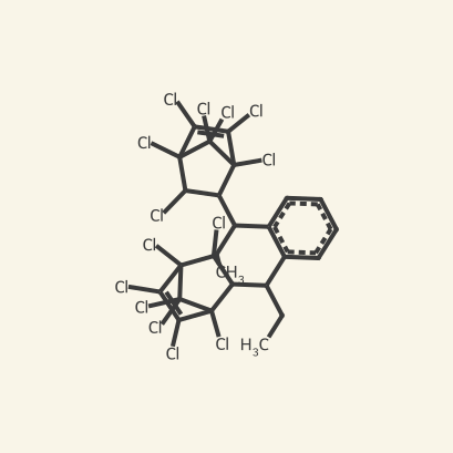 CCC(c1ccccc1C(CC)C1C(Cl)C2(Cl)C(Cl)=C(Cl)C1(Cl)C2(Cl)Cl)C1C(Cl)C2(Cl)C(Cl)=C(Cl)C1(Cl)C2(Cl)Cl